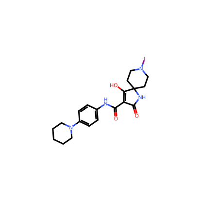 O=C(Nc1ccc(N2CCCCC2)cc1)C1=C(O)C2(CCN(I)CC2)NC1=O